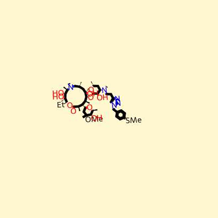 CC[C@H]1OC(=O)[C@H](C)[C@@H](C2C[C@@](C)(OC)[C@@H](O)[C@H](C)O2)[C@H](C)[C@@H](O[C@@H]2O[C@H](C)C[C@H](N(C)CCc3cn(Cc4ccc(SC)cc4)nn3)[C@H]2O)[C@](C)(O)C[C@@H](C)CN(C)[C@H](C)[C@@H](O)[C@]1(C)O